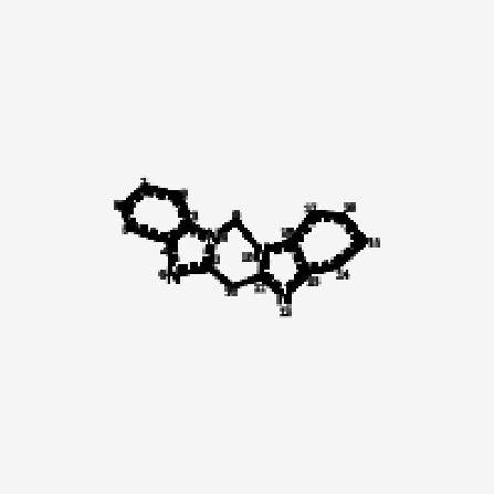 c1ccc2c(c1)nc1n2Cn2c(nc3ccccc32)C1